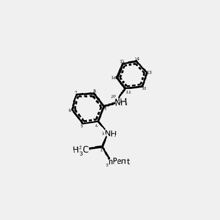 CCCCCC(C)Nc1ccccc1Nc1ccccc1